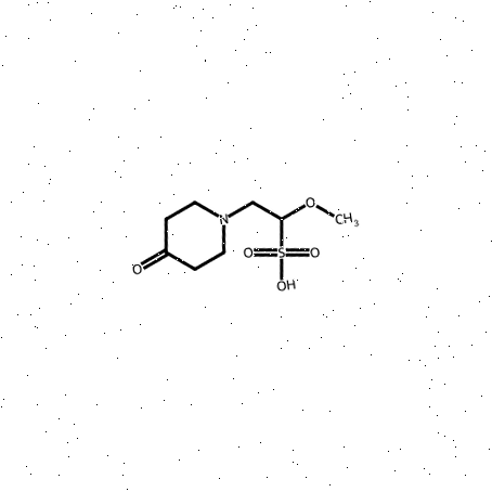 COC(CN1CCC(=O)CC1)S(=O)(=O)O